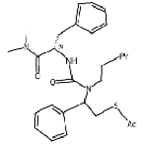 CC(=O)SCC(c1ccccc1)N(CCC(C)C)C(=O)N[C@@H](Cc1ccccc1)C(=O)N(C)C